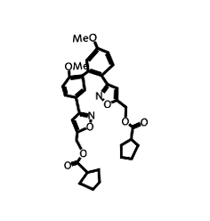 COc1ccc(-c2cc(COC(=O)C3CCCC3)on2)c(-c2cc(-c3cc(COC(=O)C4CCCC4)on3)ccc2OC)c1